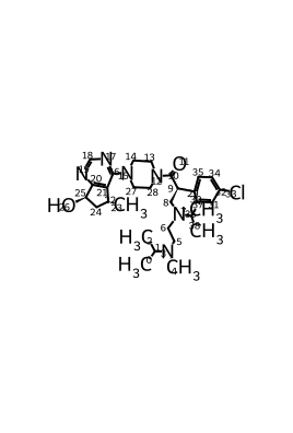 CC(C)N(C)CCN(C[C@@H](C(=O)N1CCN(c2ncnc3c2[C@H](C)C[C@H]3O)CC1)c1ccc(Cl)cc1)C(C)C